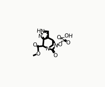 COC(=O)C1c2n[nH]cc2C2CN1C(=O)N2OS(=O)(=O)O